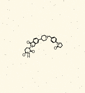 O=C1CCC(N2Cc3cc(C4CCN(Cc5ccc(N6CCCC6=O)cc5)CC4)ccc3C2=O)C(=O)N1